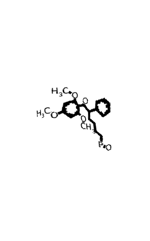 COc1cc(OC)c(C(=O)C(CCCCP=O)c2ccccc2)c(OC)c1